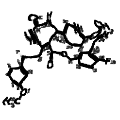 COc1cccc(CCC2=C(C(=O)OCc3ccc(F)c(C#N)c3)C(c3ccc(OC)nc3)NC(=O)N2)c1